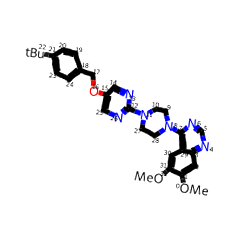 COc1cc2ncnc(N3CCN(c4ncc(OCc5ccc(C(C)(C)C)cc5)cn4)CC3)c2cc1OC